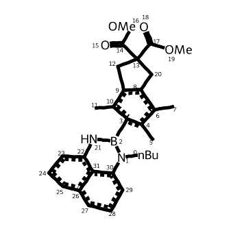 CCCCN1B(c2c(C)c(C)c3c(c2C)CC(C(=O)OC)(C(=O)OC)C3)Nc2cccc3cccc1c23